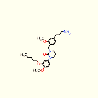 CCCCCOc1cc(N2CCCN(Cc3ccc(CCCN)cc3OC)C2=O)ccc1OC